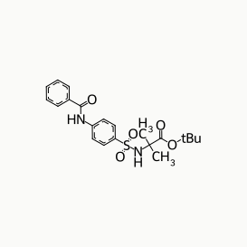 CC(C)(C)OC(=O)C(C)(C)NS(=O)(=O)c1ccc(NC(=O)c2ccccc2)cc1